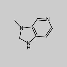 CN1CNc2ccncc21